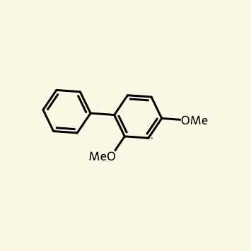 COc1[c]c(OC)c(-c2ccccc2)cc1